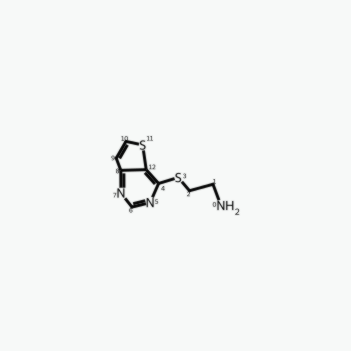 NCCSc1ncnc2ccsc12